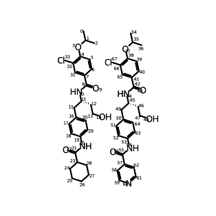 CC(C)Oc1ccc(C(=O)N[C@H](CCO)Cc2ccc(NC(=O)C3CCCCC3)cc2)cc1Cl.CC(C)Oc1ccc(C(=O)N[C@H](CCO)Cc2ccc(NC(=O)c3ccncc3)cc2)cc1Cl